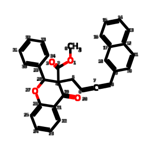 COC(=O)C1(CC=C=Cc2ccc3ccccc3c2)C(=O)c2ccccc2OC1c1ccccc1